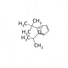 CC(C)c1c(C(C)(C)C)c2ccc1o2